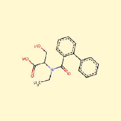 CCN(C(=O)c1ccccc1-c1ccccc1)C(CO)C(=O)O